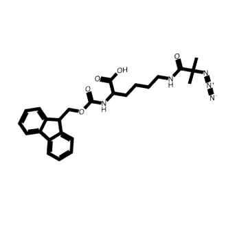 CC(C)(N=[N+]=[N-])C(=O)NCCCCC(NC(=O)OCC1c2ccccc2-c2ccccc21)C(=O)O